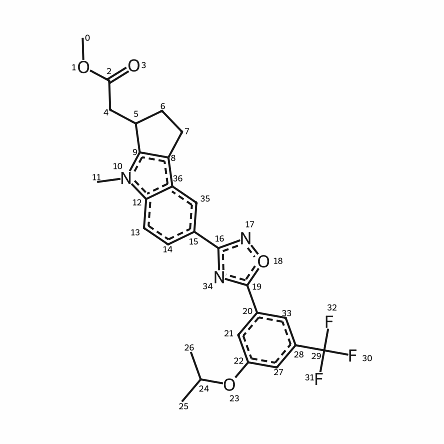 COC(=O)CC1CCc2c1n(C)c1ccc(-c3noc(-c4cc(OC(C)C)cc(C(F)(F)F)c4)n3)cc21